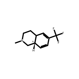 CN1CCC2C=C(C(F)(F)F)C=C[C@@H]2C1